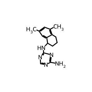 Cc1cc(C)c2c(c1)C(Nc1ncnc(N)n1)CCC2